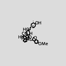 COc1ccc2c(c1)OC[C@@H]2COc1cccc2[nH]c(C(=O)O)c(C3(C(N)=O)CCC(O)(CCN4CC[C@H](O)[C@@H](C)C4)CC3)c12